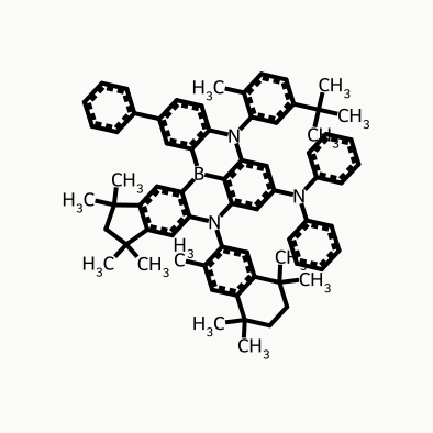 Cc1ccc(C(C)(C)C)cc1N1c2ccc(-c3ccccc3)cc2B2c3cc4c(cc3N(c3cc5c(cc3C)C(C)(C)CCC5(C)C)c3cc(N(c5ccccc5)c5ccccc5)cc1c32)C(C)(C)CC4(C)C